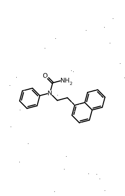 NC(=O)N(CCc1cccc2ccccc12)c1ccccc1